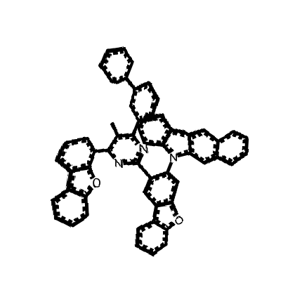 Cc1c(-c2cccc(-c3ccccc3)c2)nc(-c2cc3c(cc2-n2c4ccccc4c4cc5ccccc5cc42)oc2ccccc23)nc1-c1cccc2c1oc1ccccc12